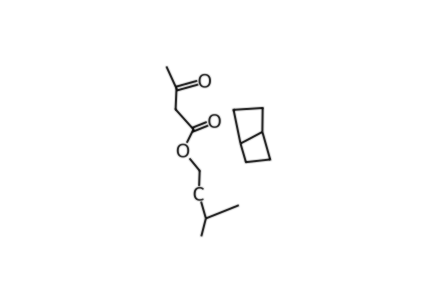 C1CC2CCC12.CC(=O)CC(=O)OCCC(C)C